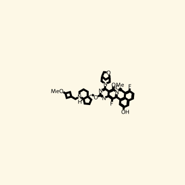 C#Cc1c(F)ccc2cc(O)cc(-c3nc(OC)c4c(N5CC6COC(C6)C5)nc(OC[C@]56CCC[C@H]5N(CC5CC(OC)C5)CCC6)nc4c3F)c12